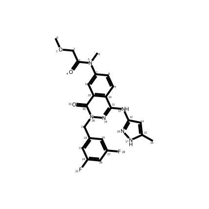 COCC(=O)N(C)c1ccc2c(Nc3cc(C)[nH]n3)nn(Cc3cc(F)cc(F)c3)c(=O)c2c1